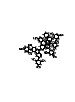 N#Cc1cc(C#N)c(-c2ccc3c(c2)c2cc(-c4c(C#N)cc(C#N)cc4C#N)ccc2n3-c2ccc(-c3nc(-c4ccccc4)nc(-c4ccccc4)n3)c(-c3cc(C(F)(F)F)ccc3-n3c4ccc(-c5c(C#N)cc(C#N)cc5C#N)cc4c4cc(-c5c(C#N)cc(C#N)cc5C#N)ccc43)c2)c(C#N)c1